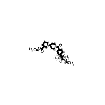 CCOC(=O)C1CCCN(C2CCN(C(=O)c3ccc(C(C)(C)C(=O)OCC)cc3)CC2)C1